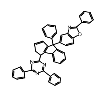 C1=CC2=C(c3ccccc3C2(c2ccccc2)c2ccc3oc(-c4ccccc4)nc3c2)C(c2nc(-c3ccccc3)nc(-c3ccccc3)n2)C1